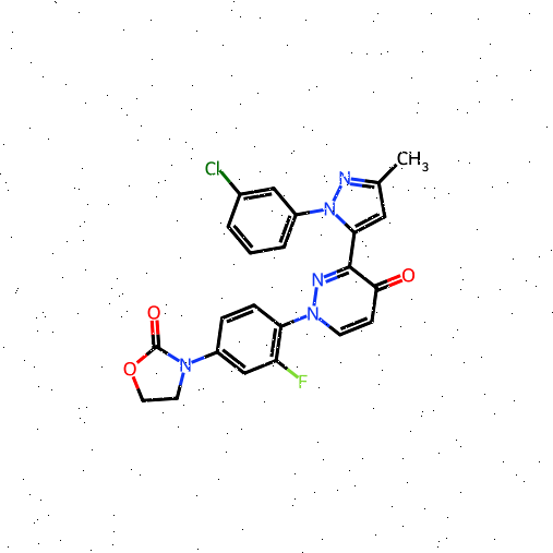 Cc1cc(-c2nn(-c3ccc(N4CCOC4=O)cc3F)ccc2=O)n(-c2cccc(Cl)c2)n1